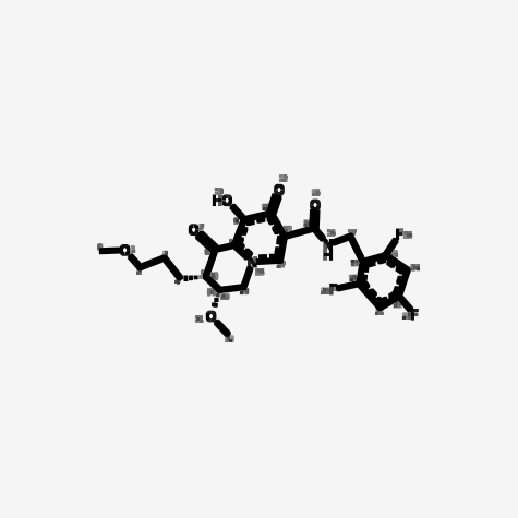 COCCC[C@@H]1C(=O)c2c(O)c(=O)c(C(=O)NCc3c(F)cc(F)cc3F)cn2C[C@@H]1OC